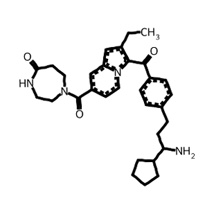 CCc1cc2cc(C(=O)N3CCNC(=O)CC3)ccn2c1C(=O)c1ccc(CCC(N)C2CCCC2)cc1